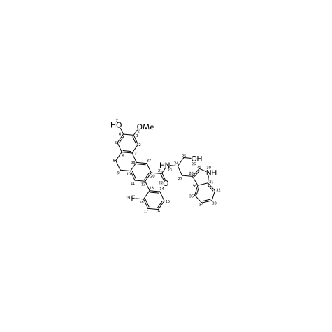 COc1cc2c(cc1O)CCc1cc(-c3ccccc3F)c(C(=O)NC(CO)Cc3c[nH]c4ccccc34)cc1-2